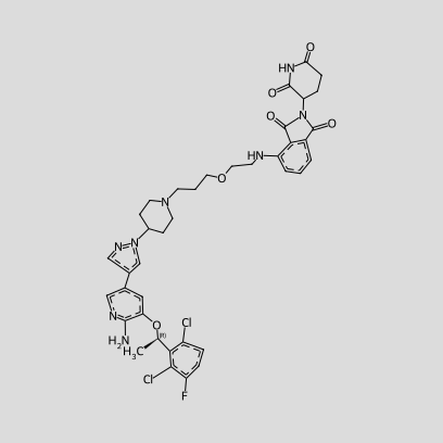 C[C@@H](Oc1cc(-c2cnn(C3CCN(CCCOCCNc4cccc5c4C(=O)N(C4CCC(=O)NC4=O)C5=O)CC3)c2)cnc1N)c1c(Cl)ccc(F)c1Cl